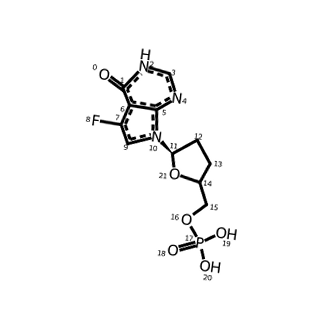 O=c1[nH]cnc2c1c(F)cn2[C@H]1CCC(COP(=O)(O)O)O1